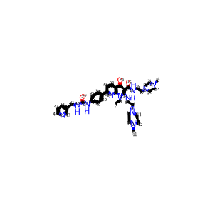 CCn1c(NCCN2CCN(C)CC2)c(C(=O)NCCN2CCN(C)CC2)c(=O)c2ccc(-c3ccc(NC(=O)NCc4cccnc4)cc3)nc21